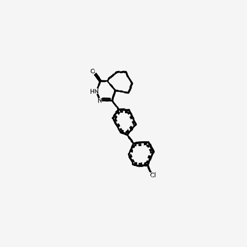 O=C1NN=C(c2ccc(-c3ccc(Cl)cc3)cc2)C2CCCCC12